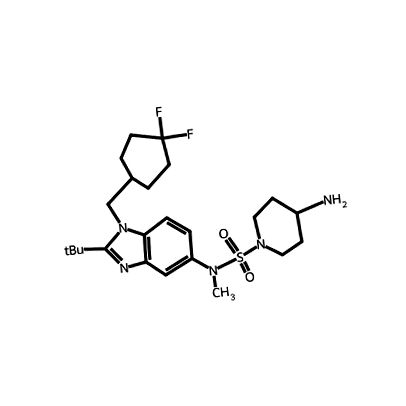 CN(c1ccc2c(c1)nc(C(C)(C)C)n2CC1CCC(F)(F)CC1)S(=O)(=O)N1CCC(N)CC1